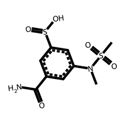 CN(c1cc(C(N)=O)cc(S(=O)O)c1)S(C)(=O)=O